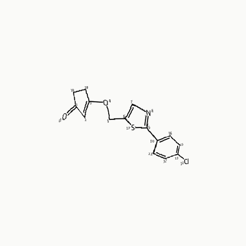 O=C1C=C(OCc2cnc(-c3ccc(Cl)cc3)s2)CC1